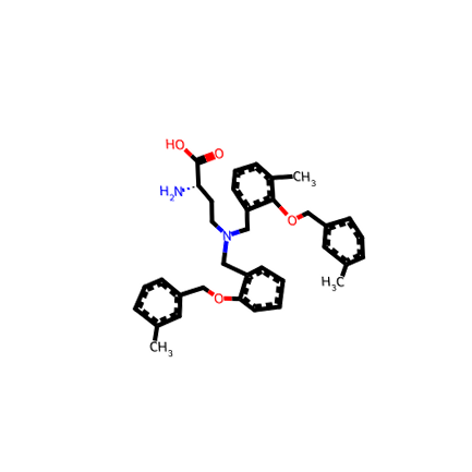 Cc1cccc(COc2ccccc2CN(CC[C@H](N)C(=O)O)Cc2cccc(C)c2OCc2cccc(C)c2)c1